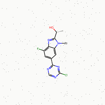 CC(C)n1c([C@@H](C)O)nc2c(F)cc(-c3ncnc(Cl)n3)cc21